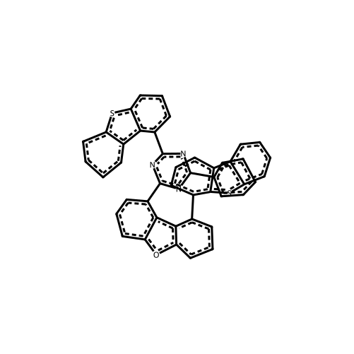 c1ccc(-c2nc(-c3cccc4sc5ccccc5c34)nc(-c3cccc4oc5cccc(-c6cccc7c6sc6ccccc67)c5c34)n2)cc1